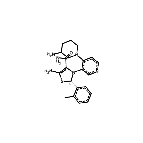 Cc1ccccc1[C@@H]1SC(N)=C(C(N)=O)N1c1cnccc1N1CCCC(N)C1